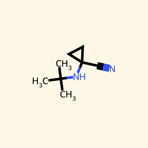 CC(C)(C)NC1(C#N)CC1